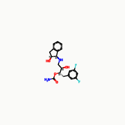 NC(=O)O[C@@H](Cc1cc(F)cc(F)c1)[C@H](O)CN[C@@H]1c2ccccc2C[C@@H]1O